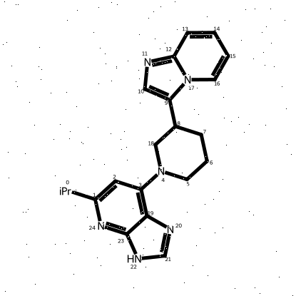 CC(C)c1cc(N2CCCC(c3cnc4ccccn34)C2)c2nc[nH]c2n1